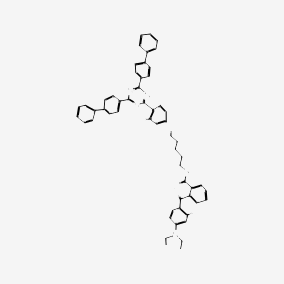 CCN(CC)c1ccc(C(=O)c2ccccc2C(=O)NCCCCCOc2ccc(-c3nc(-c4ccc(-c5ccccc5)cc4)nc(-c4ccc(-c5ccccc5)cc4)n3)c(O)c2)c(O)c1